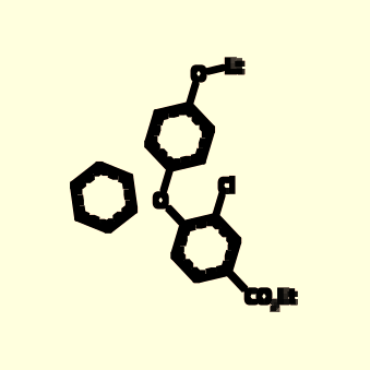 CCOC(=O)c1ccc(Oc2ccc(OCC)cc2)c(Cl)c1.c1ccccc1